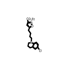 CCOC(=O)c1cc(CCCCN2CCCc3cc(Cl)ccc32)on1